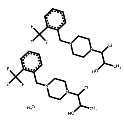 CC(O)C(Cl)N1CCN(Cc2ccccc2C(F)(F)F)CC1.CC(O)C(Cl)N1CCN(Cc2ccccc2C(F)(F)F)CC1.O